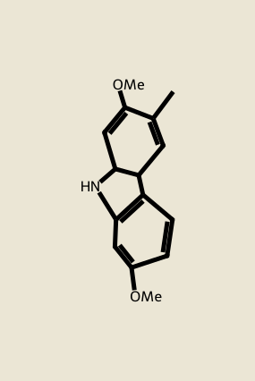 COC1=CC2Nc3cc(OC)ccc3C2C=C1C